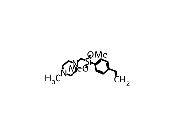 C=Cc1ccc([Si](CN2CCN(C)CC2)(OC)OC)cc1